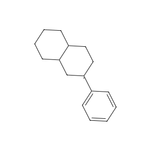 c1ccc([C]2CCC3CCCCC3C2)cc1